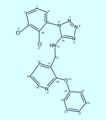 Clc1cccc(-n2nnnc2NCc2cccnc2Oc2ccccc2)c1Cl